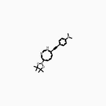 CN(C)c1ccc(C#Cc2cccc(B3OC(C)(C)C(C)(C)O3)cnc[nH]2)cc1